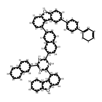 C1=CCCC(c2ccc(-c3ccc4oc5cccc(-c6ccc7ccc(-c8nc(-c9ccc%10ccccc%10c9)nc(-c9cccc%10oc%11ccccc%11c9%10)n8)cc7c6)c5c4c3)cc2)=C1